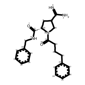 N=C(N)C1C[C@@H](C(=O)NCc2ccccc2)N(C(=O)CCCc2ccccc2)C1